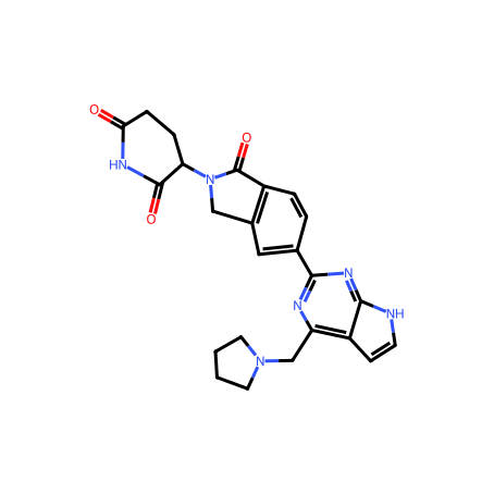 O=C1CCC(N2Cc3cc(-c4nc(CN5CCCC5)c5cc[nH]c5n4)ccc3C2=O)C(=O)N1